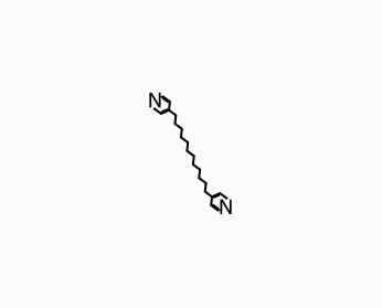 c1cc(CCCCCCCCCCCCc2ccncc2)ccn1